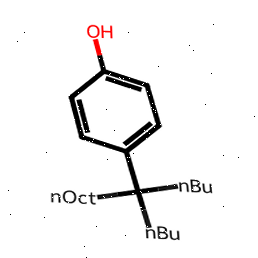 CCCCCCCCC(CCCC)(CCCC)c1ccc(O)cc1